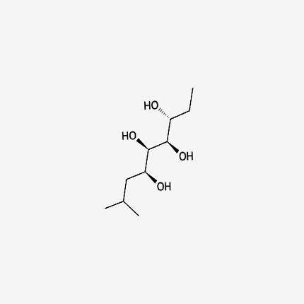 CC[C@@H](O)[C@@H](O)[C@H](O)[C@@H](O)CC(C)C